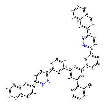 N#Cc1ccccc1-c1cc(-c2cccc(-c3ccc(-c4ccc5ccccc5c4)nn3)c2)cc(-c2cccc(-c3ccc(-c4ccc5ccccc5c4)nn3)c2)c1